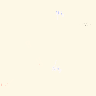 COc1cc(N)c(S(=O)(=O)CCO)cc1N